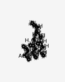 CC(=O)N(CCOC(=O)Nc1cc(O)c2ccccc2n1)NCc1ccccc1Cl.CC(=O)N(CCOC(=O)Nc1cnc2ccccc2c1)NCc1ccccc1Cl.CC(=O)N(CCOC(=O)Nc1nc2c(s1)CCCC2)NCc1ccccc1Cl.C[N+](C)(C)CCOCCN(CCOC(=O)Nc1cc2ccccc2cn1)C(=O)NCc1ccccc1Cl